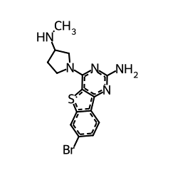 CNC1CCN(c2nc(N)nc3c2sc2cc(Br)ccc23)C1